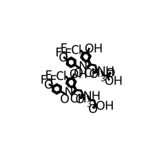 Cc1c(CC(=O)NCC(=O)O)c2cc(O)c(Cl)cc2n1C(=O)c1ccc(OC(F)(F)F)cc1.Cc1c(CC(=O)NCCC(=O)O)c2cc(O)c(Cl)cc2n1C(=O)c1ccc(OC(F)(F)F)cc1